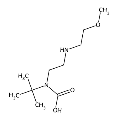 COCCNCCN(C(=O)O)C(C)(C)C